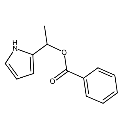 CC(OC(=O)c1ccccc1)c1ccc[nH]1